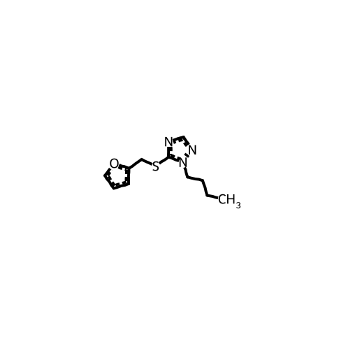 CCCCn1ncnc1SCc1ccco1